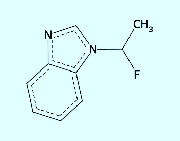 CC(F)n1cnc2ccccc21